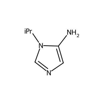 CC(C)n1cncc1N